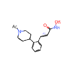 CC(=O)N1CCC(c2ccccc2/C=C/C(=O)NO)CC1